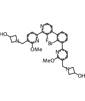 COc1nc(-c2cccc(-c3ccnc(-c4ccc(CN5CC(O)C5)c(OC)n4)c3F)c2Br)ccc1CN1CC(O)C1